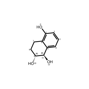 Oc1cccc2c1CC[C@@H](O)[C@@H]2O